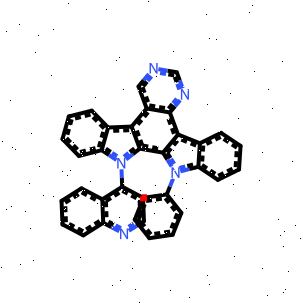 c1ccc(-n2c3ccccc3c3c4ncncc4c4c5ccccc5n(-c5ccnc6ccccc56)c4c32)cc1